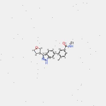 CCNC(=O)c1ccc(C)c(-c2ccc3c(C4CCOC4)n[nH]c3c2)c1